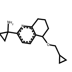 NC1(c2ccc3c(n2)CCCC3OCC2CC2)CC1